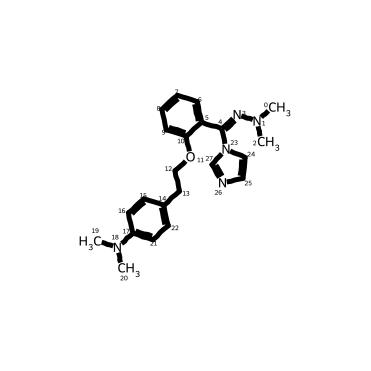 CN(C)N=C(c1ccccc1OCCc1ccc(N(C)C)cc1)n1ccnc1